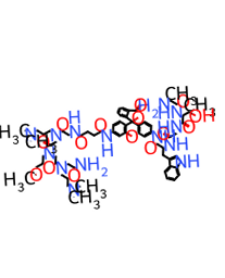 COCCCN(CC(=O)N(CCCN(C)C)CC(N)=O)C(=O)CN(CCCN(C)C)C(=O)CNC(=O)CCC(=O)Nc1ccc2c(c1)Oc1cc(NC(=O)C(Cc3c[nH]c4ccccc34)NC(=O)CNC(=O)C(NC(=O)[C@H](C)N)C(C)O)ccc1C21OC(=O)c2ccccc21